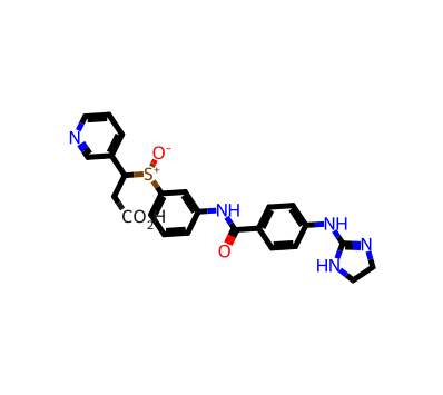 O=C(O)CC(c1cccnc1)[S+]([O-])c1cccc(NC(=O)c2ccc(NC3=NCCN3)cc2)c1